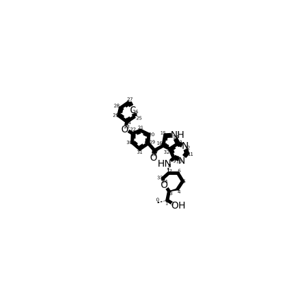 C[C@@H](O)[C@@H]1CCC[C@@H](Nc2ncnc3[nH]cc(C(=O)c4ccc(Oc5ccccc5)cc4)c23)CO1